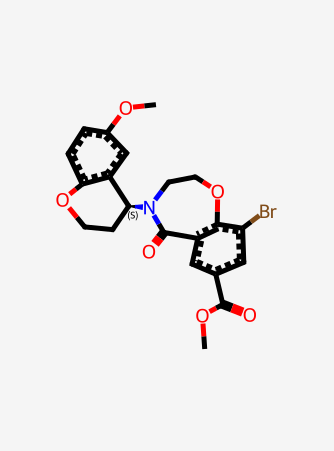 COC(=O)c1cc(Br)c2c(c1)C(=O)N([C@H]1CCOc3ccc(OC)cc31)CCO2